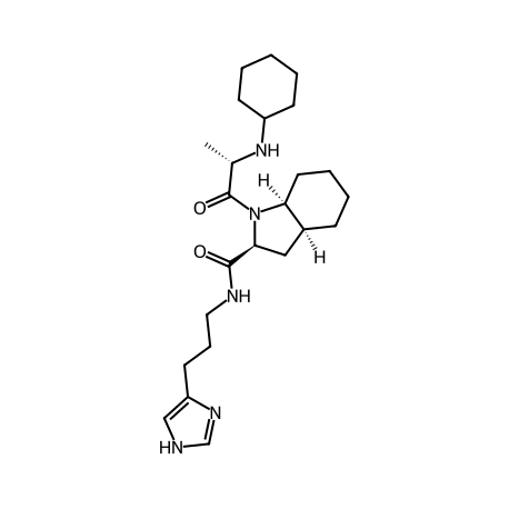 C[C@H](NC1CCCCC1)C(=O)N1[C@H](C(=O)NCCCc2c[nH]cn2)C[C@@H]2CCCC[C@@H]21